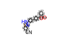 N#Cc1ccc2sc(Nc3ccc(-c4ccc(C5OC(=O)C6CCCCC65)cc4)cc3)nc2c1